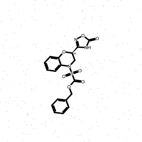 O=C(OCc1ccccc1)S(=O)(=O)N1C[C@H](c2noc(=O)[nH]2)Oc2ccccc21